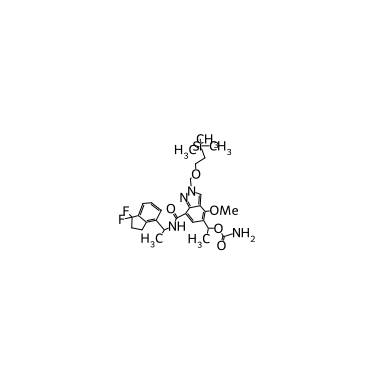 COc1c(C(C)OC(N)=O)cc(C(=O)NC(C)c2cccc3c2CCC3(F)F)c2nn(COCC[Si](C)(C)C)cc12